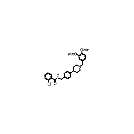 COc1ccc(CN2CCC(c3ccc(CNC(=O)c4ccccc4Cl)cc3)CC2)cc1OC